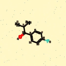 [2H]C([2H])C(=O)c1ccc(F)cc1